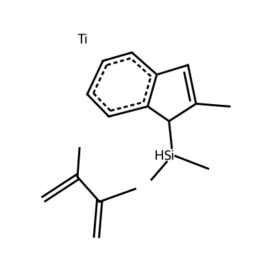 C=C(C)C(=C)C.CC1=Cc2ccccc2C1[SiH](C)C.[Ti]